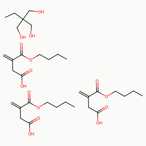 C=C(CC(=O)O)C(=O)OCCCC.C=C(CC(=O)O)C(=O)OCCCC.C=C(CC(=O)O)C(=O)OCCCC.CCC(CO)(CO)CO